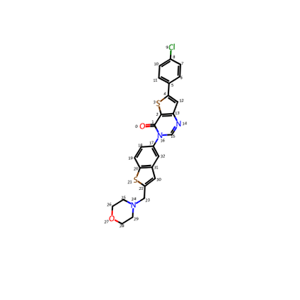 O=c1c2sc(-c3ccc(Cl)cc3)cc2ncn1-c1ccc2sc(CN3CCOCC3)cc2c1